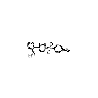 CCSc1cccnc1-c1ccc(S(=O)(=O)c2ccc(Br)cc2)nn1